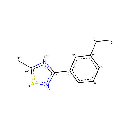 CCc1cccc(-c2nsc(C)n2)c1